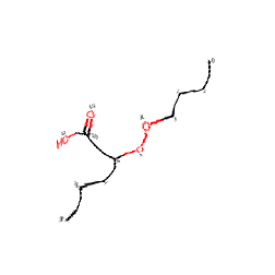 CCCCOOC(CCC)C(=O)O